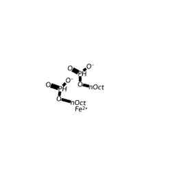 CCCCCCCCO[PH](=O)[O-].CCCCCCCCO[PH](=O)[O-].[Fe+2]